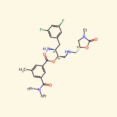 CCCN(CCC)C(=O)c1cc(C)cc(C(=O)O[C@H](CNC[C@@H]2CN(CC)C(=O)O2)[C@@H](N)Cc2cc(F)cc(F)c2)c1